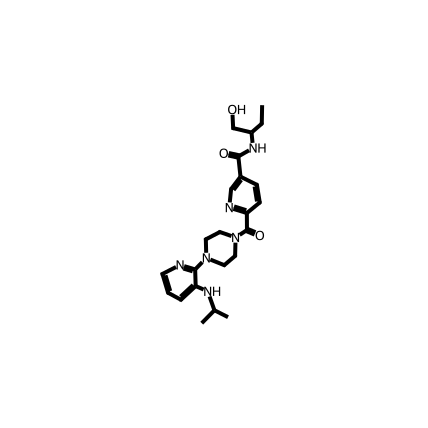 CCC(CO)NC(=O)c1ccc(C(=O)N2CCN(c3ncccc3NC(C)C)CC2)nc1